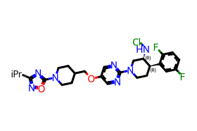 CC(C)c1noc(N2CCC(COc3cnc(N4CC[C@H](c5cc(F)ccc5F)[C@@H](NCl)C4)nc3)CC2)n1